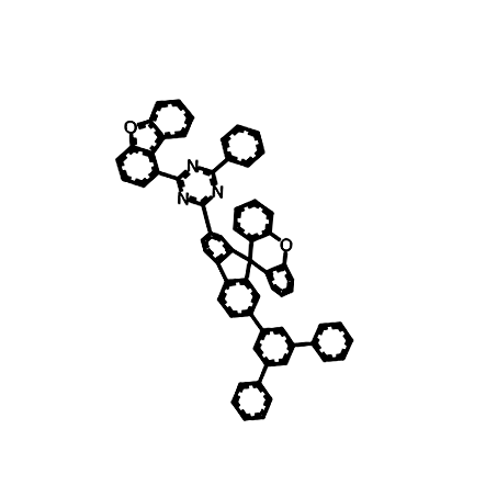 c1ccc(-c2cc(-c3ccccc3)cc(-c3ccc4c(c3)C3(c5ccccc5Oc5ccccc53)c3cc(-c5nc(-c6ccccc6)nc(-c6cccc7oc8ccccc8c67)n5)ccc3-4)c2)cc1